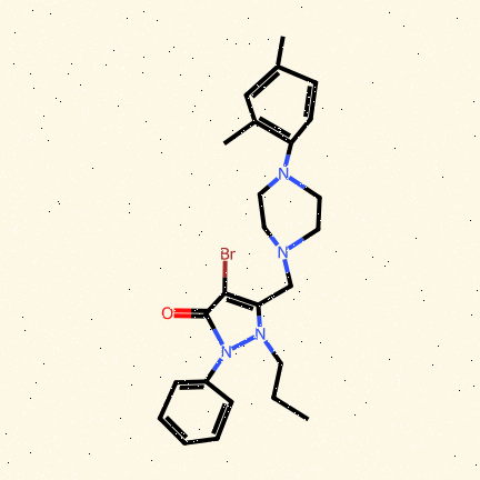 CCCn1c(CN2CCN(c3ccc(C)cc3C)CC2)c(Br)c(=O)n1-c1ccccc1